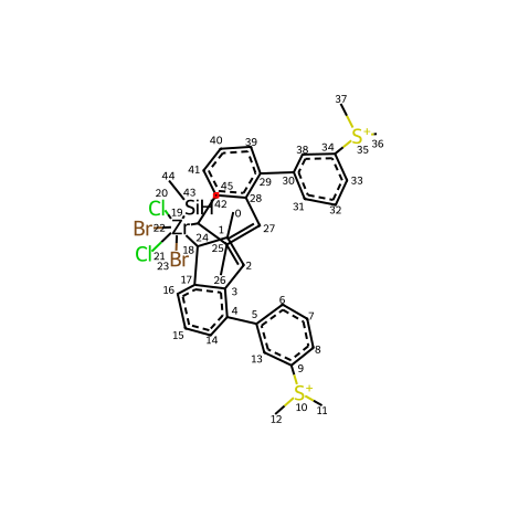 CC1=Cc2c(-c3cccc([S+](C)C)c3)cccc2[CH]1[Zr]([Cl])([Cl])([Br])([Br])([CH]1C(C)=Cc2c(-c3cccc([S+](C)C)c3)cccc21)[SiH](C)C